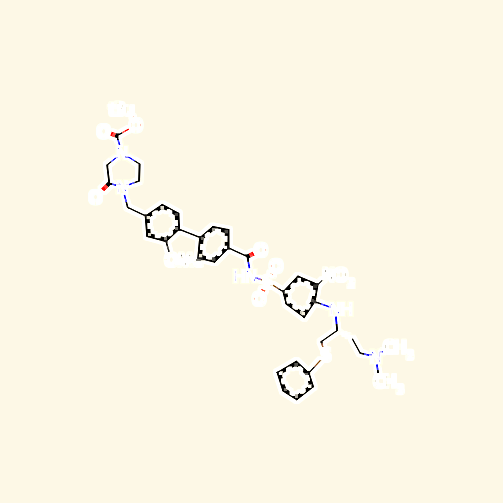 COc1cc(CN2CCN(C(=O)OC(C)(C)C)CC2=O)ccc1-c1ccc(C(=O)NS(=O)(=O)c2ccc(N[C@H](CCN(C)C)CSc3ccccc3)c([N+](=O)[O-])c2)cc1